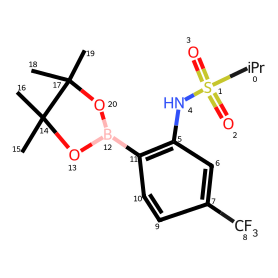 CC(C)S(=O)(=O)Nc1cc(C(F)(F)F)ccc1B1OC(C)(C)C(C)(C)O1